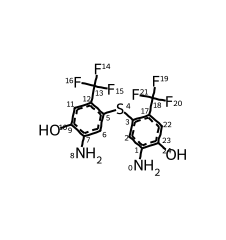 Nc1cc(Sc2cc(N)c(O)cc2C(F)(F)F)c(C(F)(F)F)cc1O